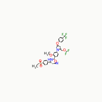 CCS(=O)(=O)c1ccc([C@@H](CC#N)NC(=O)c2ccc(N3C[C@@H](Oc4ccc(C(F)(F)F)cc4)C[C@H]3COC(F)F)cc2OC)cc1